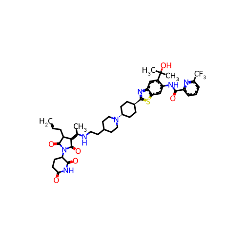 C=CCC1C(=O)N(C2CCC(=O)NC2=O)C(=O)/C1=C(/C)NCCC1CCN([C@H]2CC[C@H](c3nc4cc(C(C)(C)O)c(NC(=O)c5cccc(C(F)(F)F)n5)cc4s3)CC2)CC1